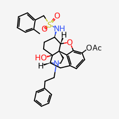 CC(=O)Oc1ccc2c3c1O[C@H]1[C@H](NS(=O)(=O)Cc4ccccc4C)CC[C@@]4(O)[C@@H](C2)N(CCc2ccccc2)CC[C@]314